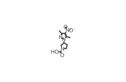 Cc1nn(C2CCN(C(=O)O)C2)c(C)c1[N+](=O)[O-]